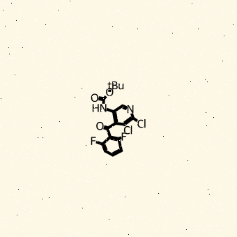 CC(C)(C)OC(=O)Nc1cnc(Cl)c(Cl)c1C(=O)c1c(F)cccc1F